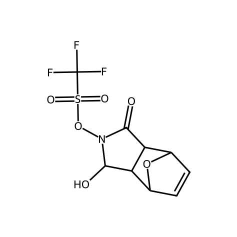 O=C1C2C3C=CC(O3)C2C(O)N1OS(=O)(=O)C(F)(F)F